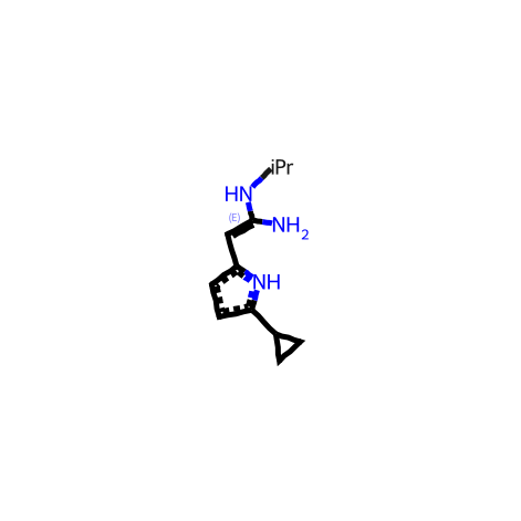 CC(C)N/C(N)=C/c1ccc(C2CC2)[nH]1